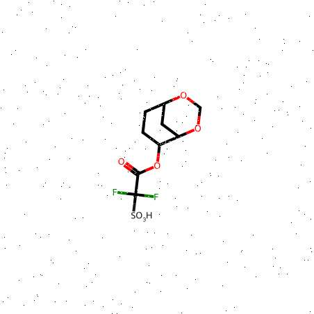 O=C(OC1CCC2CC1OCO2)C(F)(F)S(=O)(=O)O